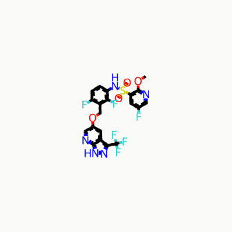 COc1ncc(F)cc1S(=O)(=O)Nc1ccc(F)c(COc2cnc3[nH]nc(C(F)(F)F)c3c2)c1F